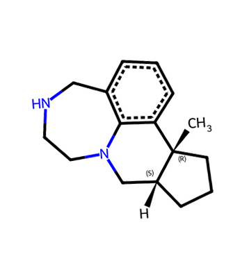 C[C@@]12CCC[C@@H]1CN1CCNCc3cccc2c31